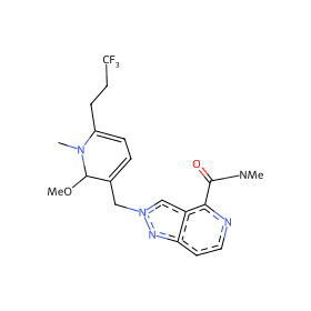 CNC(=O)c1nccc2nn(CC3=CC=C(CCC(F)(F)F)N(C)C3OC)cc12